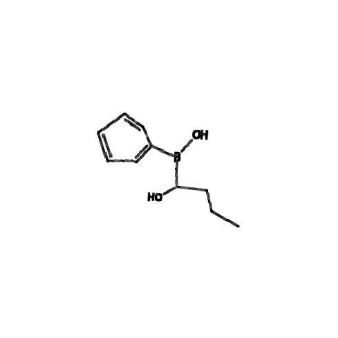 CCCC(O)B(O)c1ccccc1